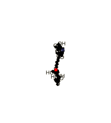 COc1ccc2c(c1)C(=O)NC(c1ccc(OCCCCCCCOc3c(OC)cc(/C=C\c4cc(CO)c(CO)c(OC)c4)cc3OC)c(CO)c1)N2